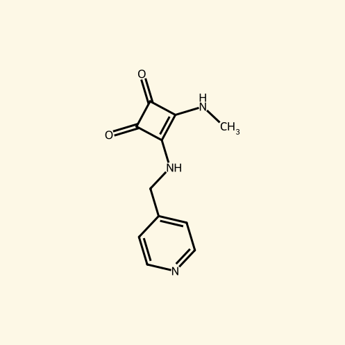 CNc1c(NCc2ccncc2)c(=O)c1=O